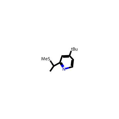 CSC(C)c1cc(C(C)(C)C)ccn1